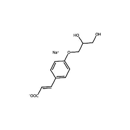 O=C([O-])C=Cc1ccc(OCC(O)CO)cc1.[Na+]